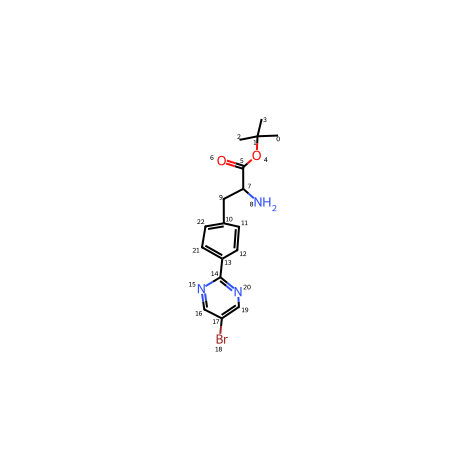 CC(C)(C)OC(=O)C(N)Cc1ccc(-c2ncc(Br)cn2)cc1